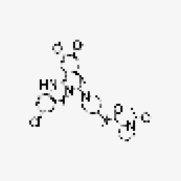 COc1cc2nc(N3CCC(N(C)C(=O)[C@@H]4CCCN4C(C)=O)CC3)nc(Nc3ccc(Cl)cc3F)c2cc1OC